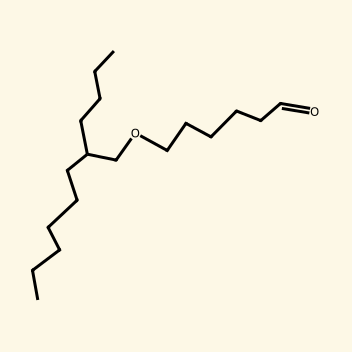 CCCCCCC(CCCC)COCCCCCC=O